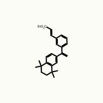 C=C(c1cccc(C=CC(=O)OCC)c1)c1ccc2c(c1)C(C)(C)CCC2(C)C